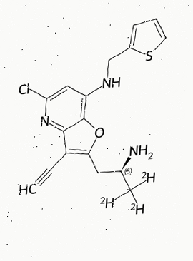 [2H]C([2H])([2H])[C@H](N)Cc1oc2c(NCc3cccs3)cc(Cl)nc2c1C#C